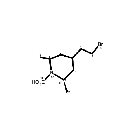 CC1CC(CCBr)C[C@@H](C)N1C(=O)O